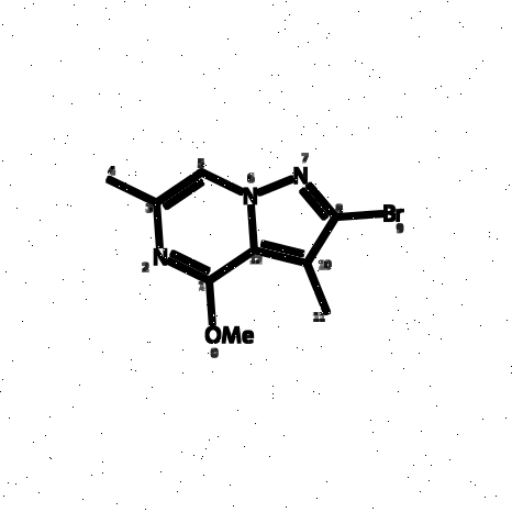 COc1nc(C)cn2nc(Br)c(C)c12